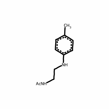 CC(=O)NCCNc1ccc(C)cc1